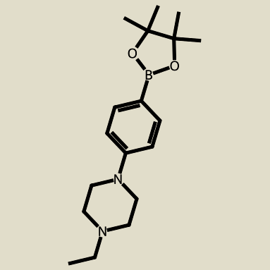 CCN1CCN(c2ccc(B3OC(C)(C)C(C)(C)O3)cc2)CC1